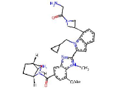 COc1cc(C(=O)N2C[C@H]3CC[C@@H]2[C@@H]3N)cc2nc(-c3cc4cccc(C5CN(C(=O)CN)C5)c4n3CC3CC3)n(C)c12